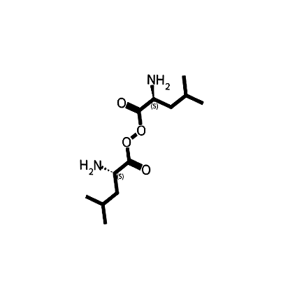 CC(C)C[C@H](N)C(=O)OOC(=O)[C@@H](N)CC(C)C